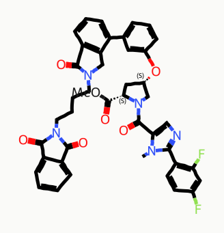 COC(=O)[C@@H]1C[C@H](Oc2cccc(-c3cccc4c3CN(CCCCN3C(=O)c5ccccc5C3=O)C4=O)c2)CN1C(=O)c1cnc(-c2ccc(F)cc2F)n1C